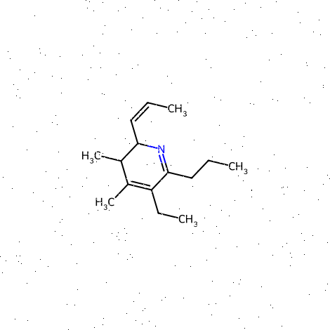 C/C=C\C1N=C(CCC)C(CC)=C(C)C1C